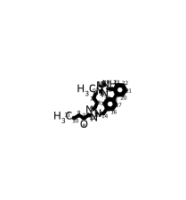 CCCCc1nc(C(=O)CCC)nn1Cc1ccc(-c2ccccc2-c2nnn[nH]2)cc1